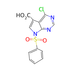 O=C(O)c1cn(S(=O)(=O)c2ccccc2)c2ncnc(Cl)c12